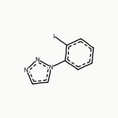 Ic1ccccc1-n1ccnn1